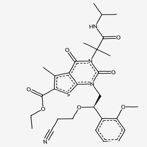 CCOC(=O)c1sc2c(c1C)c(=O)n(C(C)(C)C(=O)NC(C)C)c(=O)n2C[C@H](OCCC#N)c1ccccc1OC